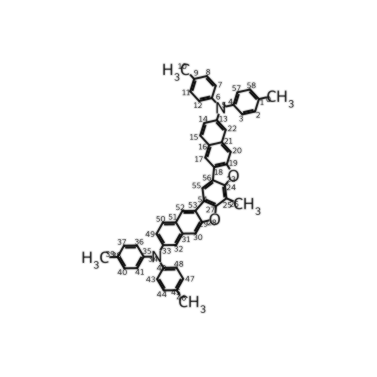 Cc1ccc(N(c2ccc(C)cc2)c2ccc3cc4c(cc3c2)oc2c(C)c3oc5cc6cc(N(c7ccc(C)cc7)c7ccc(C)cc7)ccc6cc5c3cc24)cc1